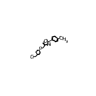 Cc1ccc(-c2nc(COc3ccc(CCl)cc3)co2)cc1